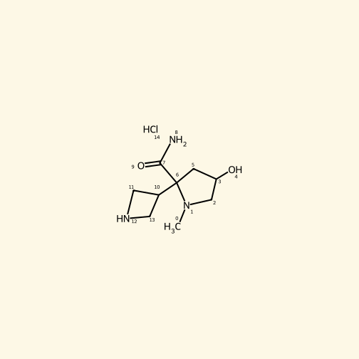 CN1CC(O)CC1(C(N)=O)C1CNC1.Cl